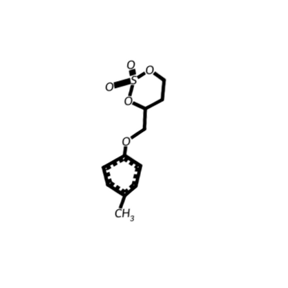 Cc1ccc(OCC2CCOS(=O)(=O)O2)cc1